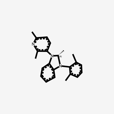 Cc1ccc(N2c3ccccc3N(c3c(C)cccc3C)[C@H]2C)c(C)n1